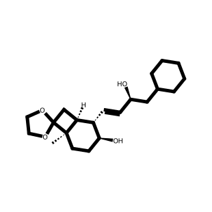 C[C@@]12CC[C@H](O)[C@@H](/C=C/[C@@H](O)CC3CCCCC3)[C@@H]1CC21OCCO1